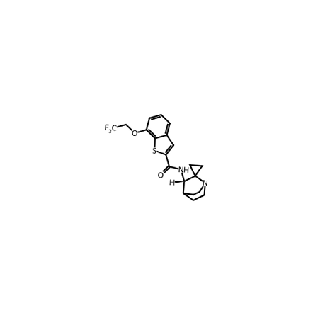 O=C(N[C@H]1C2CCN(CC2)C12CC2)c1cc2cccc(OCC(F)(F)F)c2s1